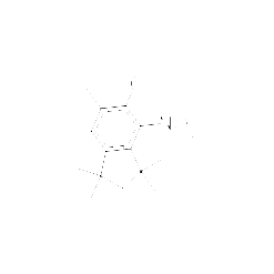 [CH2]c1cc2c(c([N+](=O)[O-])c1Cl)C(C)(C)CC2(C)C